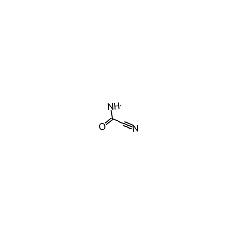 N#CC([NH])=O